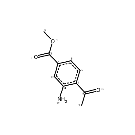 COC(=O)c1ccc(C(C)=O)c(N)c1